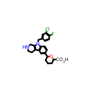 O=C(O)C1CCCC(c2ccc3c(c2)c2c(n3Cc3ccc(F)c(Cl)c3)CNCC2)O1